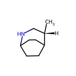 C[C@H]1CNC2CCC1CC2